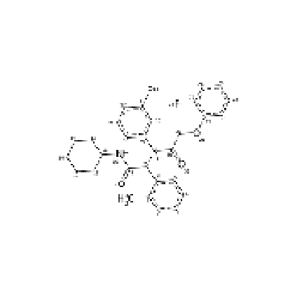 Cc1ccccc1C(C(=O)NC1CCCCC1)N(C(=O)COc1ccccc1F)c1cccc(F)c1